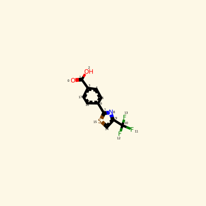 O=C(O)c1ccc(-c2nc(C(F)(F)F)cs2)cc1